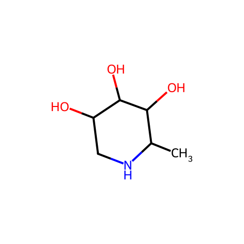 CC1NCC(O)C(O)C1O